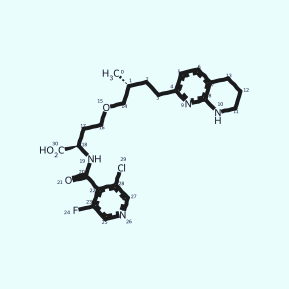 C[C@H](CCc1ccc2c(n1)NCCC2)COCC[C@@H](NC(=O)c1c(F)cncc1Cl)C(=O)O